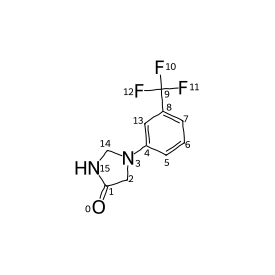 O=C1CN(c2cccc(C(F)(F)F)c2)CN1